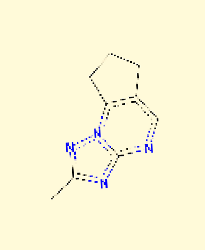 Cc1nc2ncc3c(n2n1)CCC3